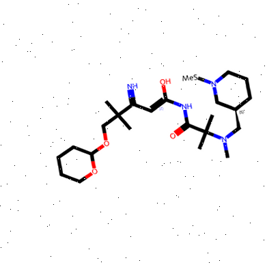 CSN1CCC[C@@H](CN(C)C(C)(C)C(=O)N/C(O)=C/C(=N)C(C)(C)COC2CCCCO2)C1